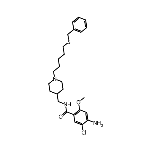 COc1cc(N)c(Cl)cc1C(=O)NCC1CCN(CCCCCSCc2ccccc2)CC1